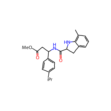 COC(=O)CC(NC(=O)C1Cc2cccc(C)c2N1)c1ccc(C(C)C)cc1